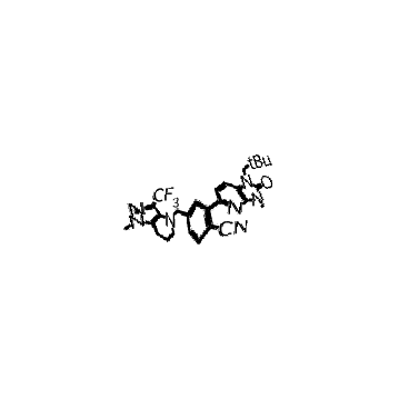 Cn1nc(C(F)(F)F)c2c1CCCN2Cc1ccc(C#N)c(-c2ccc3c(n2)n(C)c(=O)n3CC(C)(C)C)c1